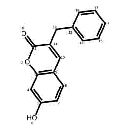 O=c1oc2cc(O)ccc2cc1Cc1ccccc1